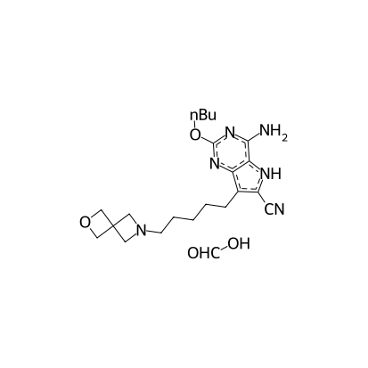 CCCCOc1nc(N)c2[nH]c(C#N)c(CCCCCN3CC4(COC4)C3)c2n1.O=CO